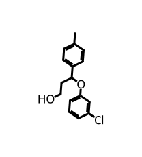 Cc1ccc(C(CCO)Oc2cccc(Cl)c2)cc1